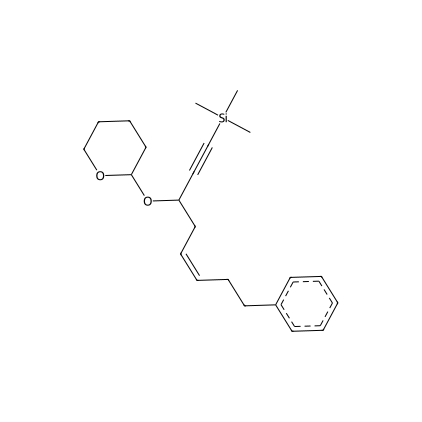 C[Si](C)(C)C#CC(C/C=C\CCc1ccccc1)OC1CCCCO1